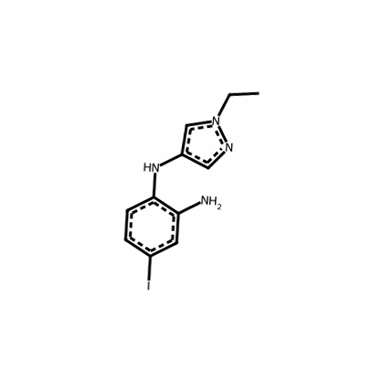 CCn1cc(Nc2ccc(I)cc2N)cn1